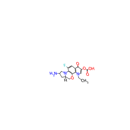 CCn1cc(OC(=O)O)c(=O)c2cc(F)c3c(c21)OC[C@@H]1CC(N)CN31